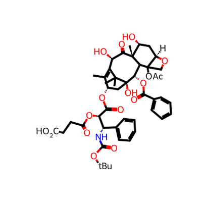 CC(=O)OC12CO[C@@H]1C[C@H](O)[C@@]1(C)C(=O)[C@H](O)C3=C(C)[C@@H](OC(=O)[C@H](OC(=O)CCC(=O)O)[C@@H](NC(=O)OC(C)(C)C)c4ccccc4)C[C@@](O)([C@@H](OC(=O)c4ccccc4)C21)C3(C)C